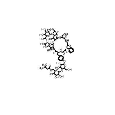 CC(C)CC(=O)OCC1OC(OC2C(CO)OC(Oc3ccc(CC4NC(=O)C(C)N(c5ccccc5)C(=O)CNC(=O)C(CO)NC(=O)C(C(O)C5CNC(=N)N5C5OC(CO)C(O)C(O)C5O)NC(=O)C(C(O)C5CNC(=N)N5)NC4=O)cc3)C(O)C2O)C(O)C(O)C1O